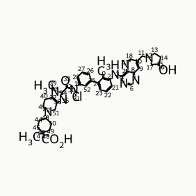 Cc1c(Nc2ncnc3cc(CN4CCC(O)C4)cnc23)cccc1-c1cccc(N(Cl)C(=O)c2nc3c(n2C)CCN(C2CCC(C)(C(=O)O)CC2)C3)c1